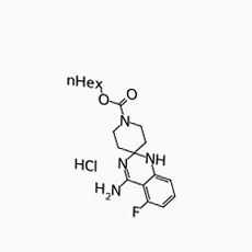 CCCCCCOC(=O)N1CCC2(CC1)N=C(N)c1c(F)cccc1N2.Cl